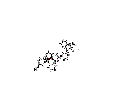 N#Cc1ccc2c3ccccc3n(-c3ccccc3-c3cc(-c4cccc(-n5c6c(c7ccccc75)C=CCC6)c4)ccc3C#N)c2c1